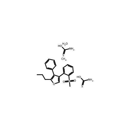 C.CCCc1occ(-c2ccccc2S(C)(=O)=O)c1-c1ccccc1.NC(O)=S.NC(O)=S.O